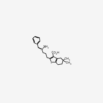 CC1(C)CCc2sc(CCCN(N)Cc3ccccc3)c(C(=O)O)c2C1